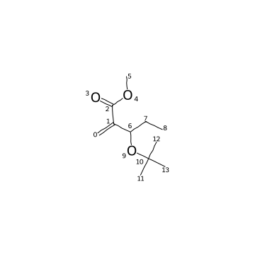 C=C(C(=O)OC)C(CC)OC(C)(C)C